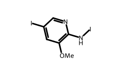 COc1cc(I)cnc1NI